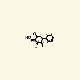 O=C1CC(c2ccccc2)C(F)C(=O)/C1=C/O